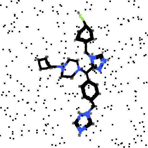 Fc1ccc(Cn2cnnc2C(c2ccc(Cn3cncn3)cc2)N2CCN(C3CCC3)CC2)cc1